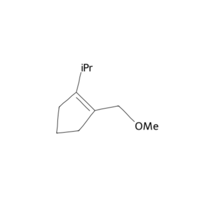 COCC1=C(C(C)C)CCC1